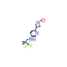 O=CN1CC(c2ccc(NCC3(C(F)(F)F)CC3)cn2)C1